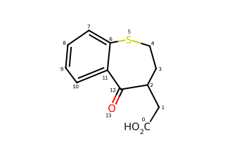 O=C(O)CC1CCSc2ccccc2C1=O